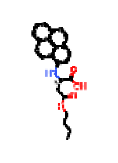 CCCCOC(=O)C[C@@H](Nc1ccc2ccc3cccc4ccc1c2c34)C(=O)O